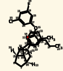 Cc1cc(N2C[C@H]3CC[C@@H](C2)[C@H]3Nc2nc(Oc3cc(F)cc(Cl)c3)n(CCC(F)(F)F)n2)ncn1